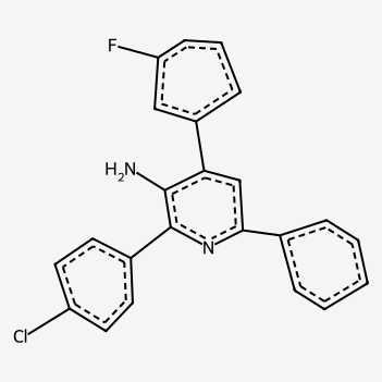 Nc1c(-c2cccc(F)c2)cc(-c2ccccc2)nc1-c1ccc(Cl)cc1